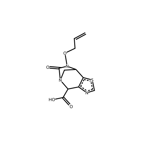 C=CCON1C(=O)N2CC1c1scnc1C2C(=O)O